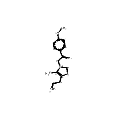 COc1ccc(C(=O)CN2CSC(CCO)=C2C)cc1